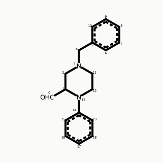 O=CC1CN(Cc2ccccc2)CCN1c1ccccc1